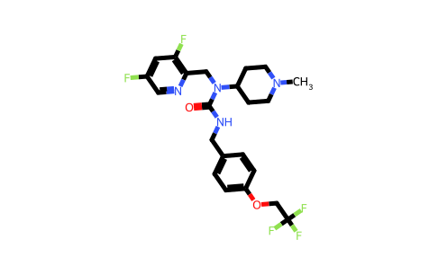 CN1CCC(N(Cc2ncc(F)cc2F)C(=O)NCc2ccc(OCC(F)(F)F)cc2)CC1